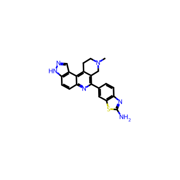 CN1CCc2c(c(-c3ccc4nc(N)sc4c3)nc3ccc4[nH]ncc4c23)C1